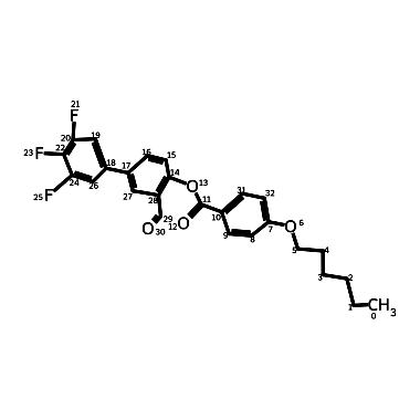 CCCCCCOc1ccc(C(=O)Oc2ccc(-c3cc(F)c(F)c(F)c3)cc2C=O)cc1